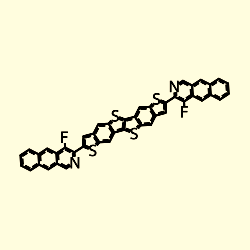 Fc1c(-c2cc3cc4sc5c6cc7sc(-c8ncc9cc%10ccccc%10cc9c8F)cc7cc6sc5c4cc3s2)ncc2cc3ccccc3cc12